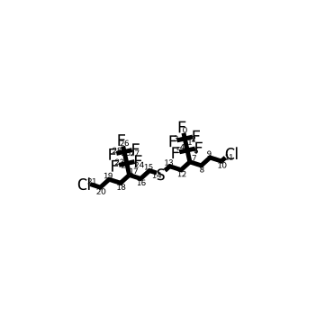 FC(F)(F)C(F)(F)C(CCCCl)CCSCCC(CCCCl)C(F)(F)C(F)(F)F